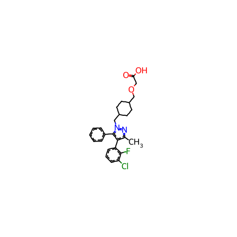 Cc1nn(CC2CCC(COCC(=O)O)CC2)c(-c2ccccc2)c1-c1cccc(Cl)c1F